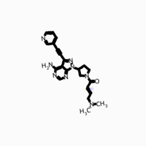 CN(C)C/C=C/C(=O)N1CCC(n2nc(C#Cc3cccnc3)c3c(N)ncnc32)C1